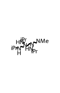 CNCCN(CCN(CCNC(C)C)CNC(C)C)CNC(C)C